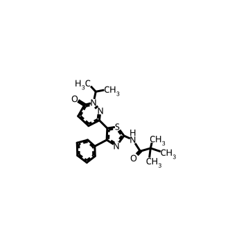 CC(C)n1nc(-c2sc(NC(=O)C(C)(C)C)nc2-c2ccccc2)ccc1=O